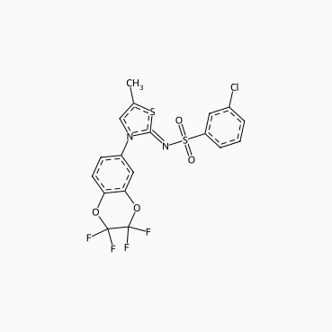 Cc1cn(-c2ccc3c(c2)OC(F)(F)C(F)(F)O3)c(=NS(=O)(=O)c2cccc(Cl)c2)s1